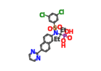 CCC(CC)(N(c1ccc2cc(-c3ncccn3)ccc2c1)S(=O)(=O)c1cc(Cl)cc(Cl)c1)P(=O)(O)O